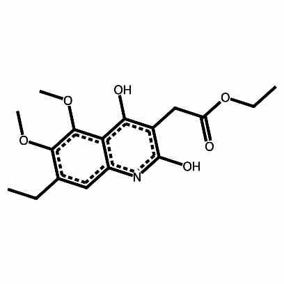 CCOC(=O)Cc1c(O)nc2cc(CC)c(OC)c(OC)c2c1O